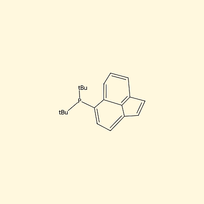 CC(C)(C)P(c1ccc2c3c(cccc13)C=C2)C(C)(C)C